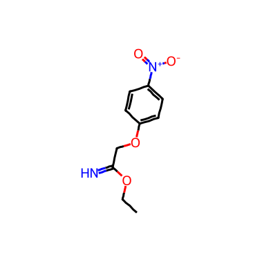 CCOC(=N)COc1ccc([N+](=O)[O-])cc1